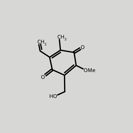 C=CC1=C(C)C(=O)C(OC)=C(CO)C1=O